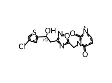 Cn1ccc(=O)n(Cc2nc(C[C@H](O)c3cc(Cl)cs3)no2)c1=O